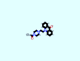 CC(C)(C)C(=O)N1CCN(CCn2c3ccccc3c(=O)c3ccccc32)CC1